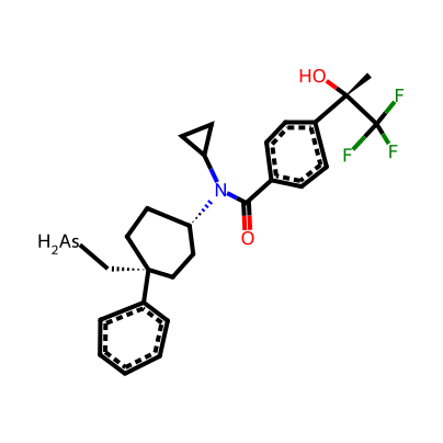 C[C@](O)(c1ccc(C(=O)N(C2CC2)[C@H]2CC[C@](C[AsH2])(c3ccccc3)CC2)cc1)C(F)(F)F